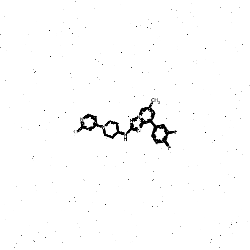 Cc1cc(-c2ccc(F)c(F)c2)c2nc(NC3CCN(c4ccnc(Cl)c4)CC3)nn2c1